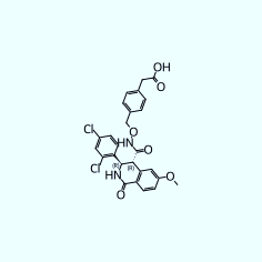 COc1ccc2c(c1)[C@@H](C(=O)NOCc1ccc(CC(=O)O)cc1)[C@H](c1ccc(Cl)cc1Cl)NC2=O